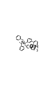 C[C@H](c1ccccc1)N(Cc1ccccc1)C(CC(=O)O)c1cccc(-c2ccccc2OC(F)(F)F)c1